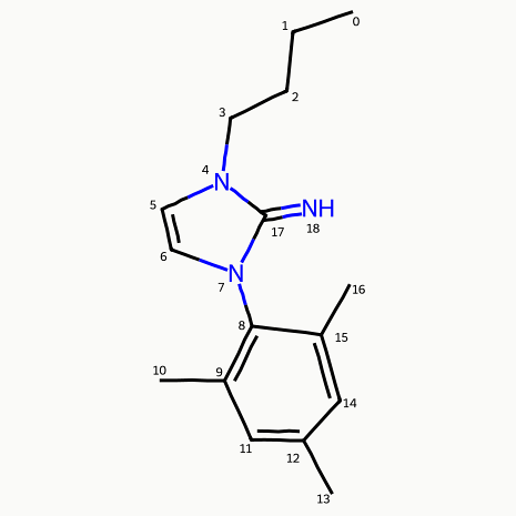 CCCCn1ccn(-c2c(C)cc(C)cc2C)c1=N